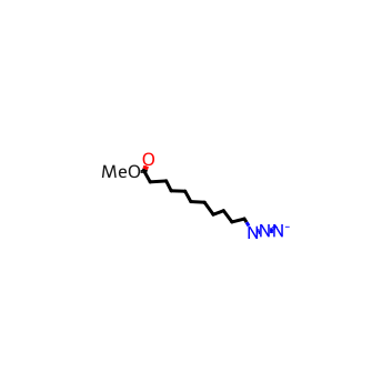 COC(=O)CCCCCCCCCCN=[N+]=[N-]